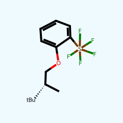 C[C@@H](COc1ccccc1S(F)(F)(F)(F)F)C(C)(C)C